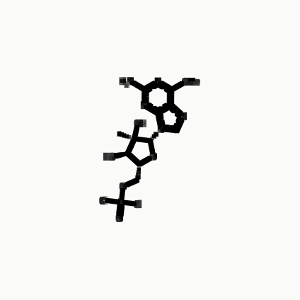 COc1nc(N)nc2c1ncn2[C@@H]1O[C@H](COP(=O)(Cl)Cl)[C@@H](O)[C@@]1(C)O